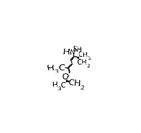 C=C(C)OC/C(C)=C/C=C(/NS)C(=C)C